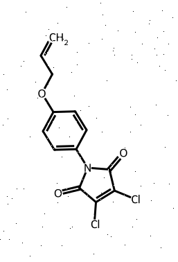 C=CCOc1ccc(N2C(=O)C(Cl)=C(Cl)C2=O)cc1